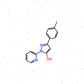 Oc1cc(-c2ccc(I)cc2)nn1-c1ccccn1